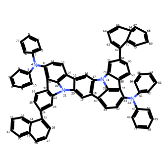 c1ccc(N(c2ccccc2)c2ccc3c4cc5c(cc4n4c6cc(-c7cccc8ccccc78)ccc6c2c34)c2ccc(N(c3ccccc3)c3ccccc3)c3c4ccc(-c6cccc7ccccc67)cc4n5c23)cc1